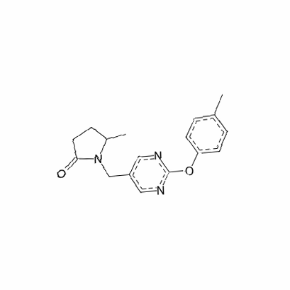 Cc1ccc(Oc2ncc(CN3C(=O)CCC3C)cn2)cc1